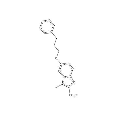 CCOC(=O)c1oc2ccc(OCCCc3ccccc3)cc2c1C